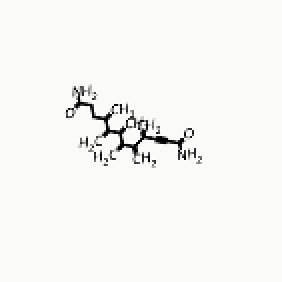 C=C(C#CC(N)=O)C(=C)C(=C)C(=C)C(=C)C(=C)CCC(N)=O